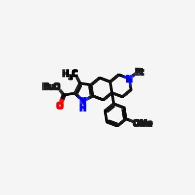 CCN1CCC2(c3cccc(OC)c3)Cc3[nH]c(C(=O)OCC(C)C)c(C)c3CC2C1